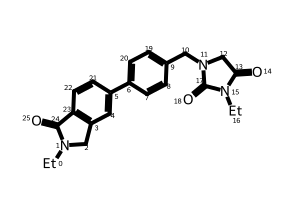 CCN1Cc2cc(-c3ccc(CN4CC(=O)N(CC)C4=O)cc3)ccc2C1=O